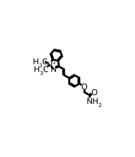 C[N+]1(C)N=C(/C=C/c2ccc(OCC(N)=O)cc2)c2ccccc21